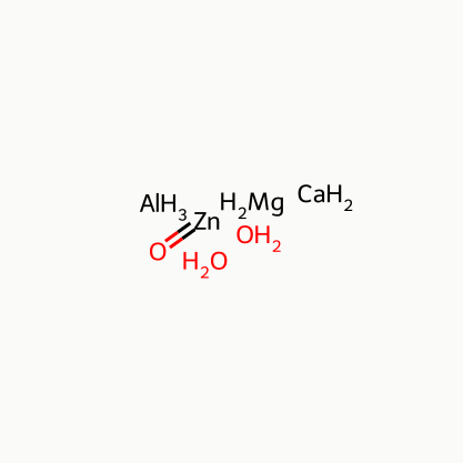 O.O.[AlH3].[CaH2].[MgH2].[O]=[Zn]